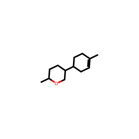 CC1=CCC(C2CCC(C)OC2)CC1